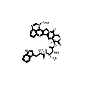 CCCCCN1C=Nc2cccc3nc4c(c1c23)Cn1c-4cc2c(c1=O)COC(=O)[C@@]2(CC)OC(=O)C[C@H](NC(=O)[C@@H](N)Cc1c[nH]c2ccccc12)C(=O)O.Cl